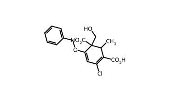 CC1C(C(=O)O)=C(Cl)C=C(OCc2ccccc2)C1(CO)C(=O)O